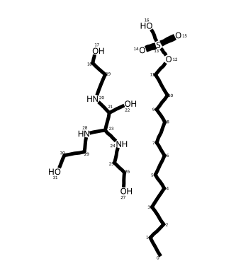 CCCCCCCCCCCCOS(=O)(=O)O.OCCNC(O)C(NCCO)NCCO